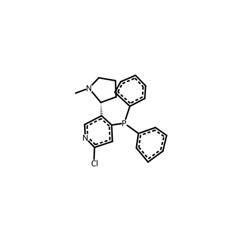 CN1CCC[C@@H]1c1cnc(Cl)cc1P(c1ccccc1)c1ccccc1